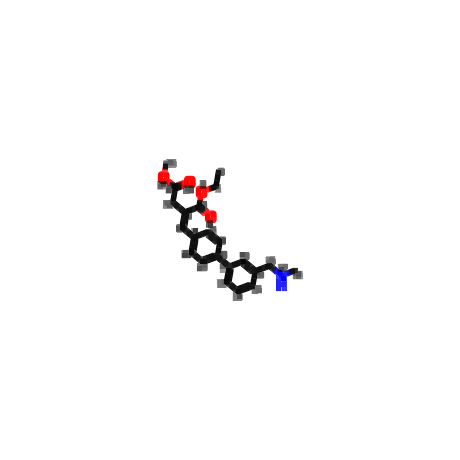 CCOC(=O)C(=Cc1ccc(-c2cccc(CNC)c2)cc1)CC(=O)OC